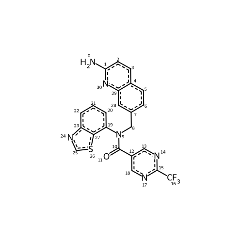 Nc1ccc2ccc(CN(C(=O)c3cnc(C(F)(F)F)nc3)c3cccc4ncsc34)cc2n1